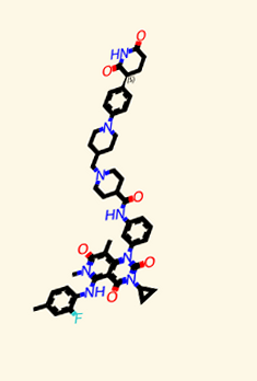 Cc1ccc(Nc2c3c(=O)n(C4CC4)c(=O)n(-c4cccc(NC(=O)C5CCN(CC6CCN(c7ccc([C@@H]8CCC(=O)NC8=O)cc7)CC6)CC5)c4)c3c(C)c(=O)n2C)c(F)c1